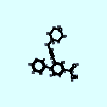 O=C(O)c1cnc(-c2ccccc2)c(C#CCN2CCOCC2)c1